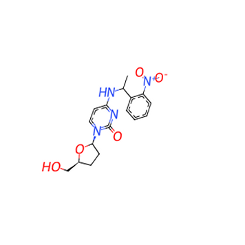 CC(Nc1ccn([C@H]2CC[C@@H](CO)O2)c(=O)n1)c1ccccc1[N+](=O)[O-]